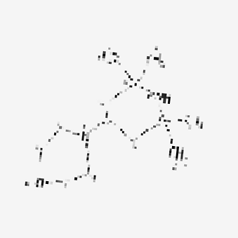 CC1(C)CC(N2CCOCC2)CC(C)(C)N1